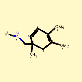 COC1=C(OC)CC(C)(CNC(C)C)C=C1